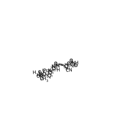 CC(C)c1cc(-c2cccc3cc(-c4ccc(C(=O)NCC#Cc5cc(C#N)cc(OC6CCC(=O)NC6=O)c5)nc4)ncc23)cc2c1n(C)c(=O)n2C